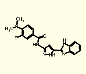 CN(C)c1ccc(C(=O)Nc2cc(-c3nc4ccccc4[nH]3)[nH]n2)cc1F